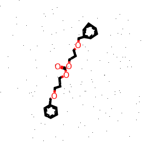 O=C(OCCCOCc1ccccc1)OCCCOCc1ccccc1